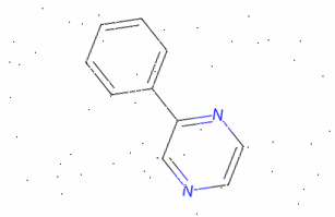 [c]1cn[c]c(-c2ccccc2)n1